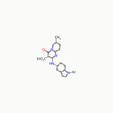 CCOC(=O)c1c(Nc2ccc3c(ccn3C(C)=O)c2)nc2ccc(C)cn2c1=O